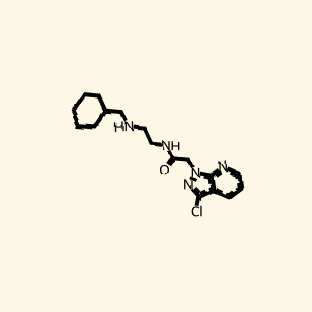 O=C(Cn1nc(Cl)c2cccnc21)NCCNCC1CCCCC1